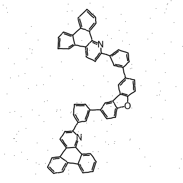 c1cc(-c2ccc3oc4ccc(-c5cccc(-c6ccc7c8ccccc8c8ccccc8c7n6)c5)cc4c3c2)cc(-c2ccc3c4ccccc4c4ccccc4c3n2)c1